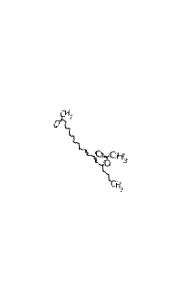 CCCCC(C=CC=CCCCCCCCCC(C)=O)OC(C)=O